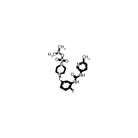 Cc1ccc(NC(=O)Nc2cc(CN3CCN(S(=O)(=O)ON(C)C)CC3)ccc2F)cn1